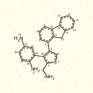 NCc1scc(-c2cccc3c2Cc2ccccc2-3)c1-c1cc(N)ccc1N